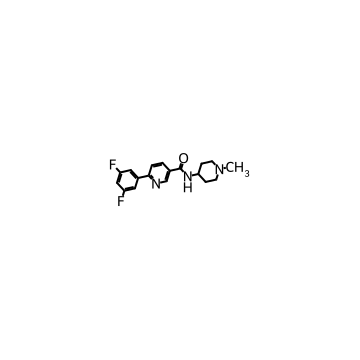 CN1CCC(NC(=O)c2ccc(-c3cc(F)cc(F)c3)nc2)CC1